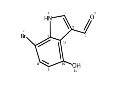 O=Cc1c[nH]c2c(Br)ccc(O)c12